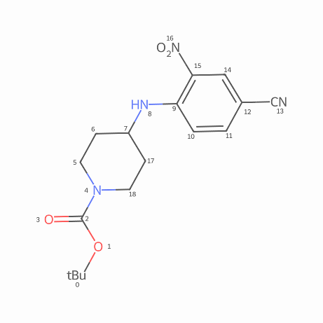 CC(C)(C)OC(=O)N1CCC(Nc2ccc(C#N)cc2[N+](=O)[O-])CC1